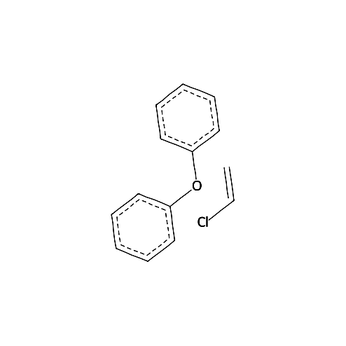 C=CCl.c1ccc(Oc2ccccc2)cc1